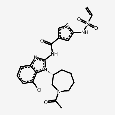 C=CS(=O)(=O)Nc1cc(C(=O)Nc2nc3cccc(Cl)c3n2[C@@H]2CCCCN(C(C)=O)C2)cs1